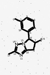 Cc1cccc(C2C(F)Cc3nc(C)nn32)c1